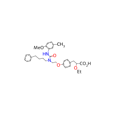 CCOC(Cc1ccc(OCCN(CCCCc2ccccc2)C(=O)Nc2cc(C)ccc2OC)cc1)C(=O)O